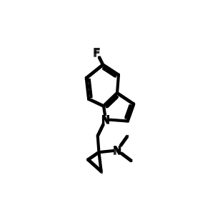 CN(C)C1(Cn2ccc3cc(F)ccc32)CC1